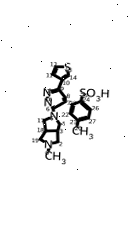 CN1CC2CN(c3ccc(-c4ccsc4)nn3)CC2C1.Cc1ccc(S(=O)(=O)O)cc1